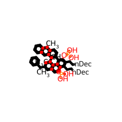 CCCCCCCCCCCCc1c(CCCCCCCCCCCC)c(OP(O)O)c(-c2ccc(C(C)c3ccccc3)cc2C(C)c2ccccc2)c(-c2ccc(C(C)c3ccccc3)cc2C(C)c2ccccc2)c1OP(O)O